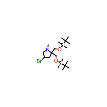 CN1CC(Br)CC1(CO[Si](C)(C)C(C)(C)C)CO[Si](C)(C)C(C)(C)C